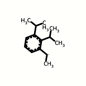 C[CH]c1cccc(C(C)C)c1C(C)C